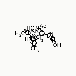 CC(=O)c1nn(CC(=O)N2[C@H](C(=O)Nc3nc(C(F)(F)F)ccc3C)C[C@@]3(C)C[C@@H]23)c2c(C)cc(-c3cnc4cc(CO)nn4c3)cc12